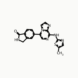 Cc1cnc(Nc2ncc(-c3ccc4c(c3)CNC4=O)n3ccnc23)s1